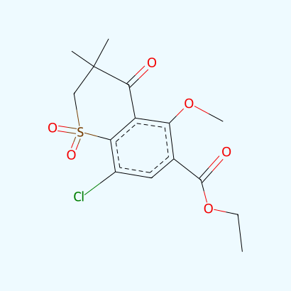 CCOC(=O)c1cc(Cl)c2c(c1OC)C(=O)C(C)(C)CS2(=O)=O